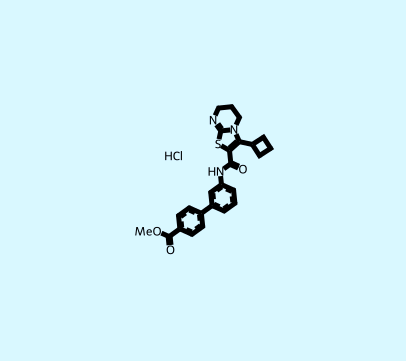 COC(=O)c1ccc(-c2cccc(NC(=O)C3=C(C4CCC4)N4CCCN=C4S3)c2)cc1.Cl